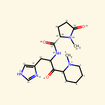 CN1CCCCC1C(=O)C(Cc1c[nH]cn1)NC(=O)[C@@H]1CCC(=O)N1C